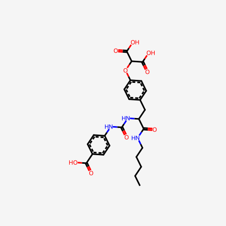 CCCCCNC(=O)C(Cc1ccc(OC(C(=O)O)C(=O)O)cc1)NC(=O)Nc1ccc(C(=O)O)cc1